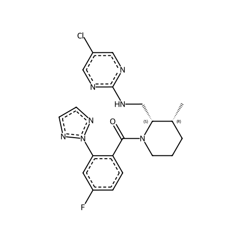 C[C@@H]1CCCN(C(=O)c2ccc(F)cc2-n2nccn2)[C@@H]1CNc1ncc(Cl)cn1